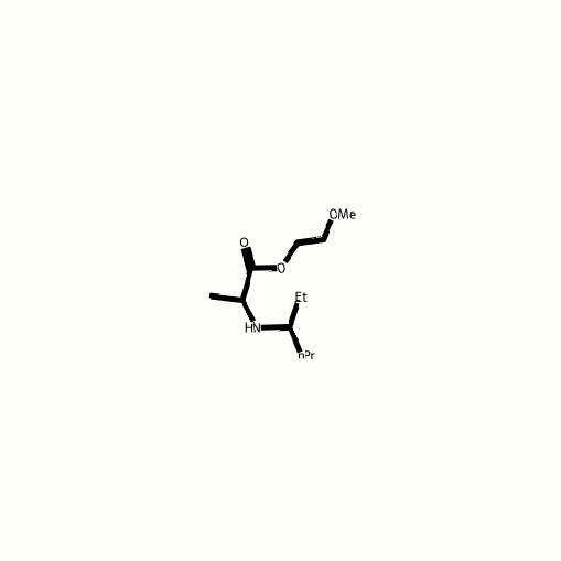 CCCC(CC)NC(C)C(=O)OCCOC